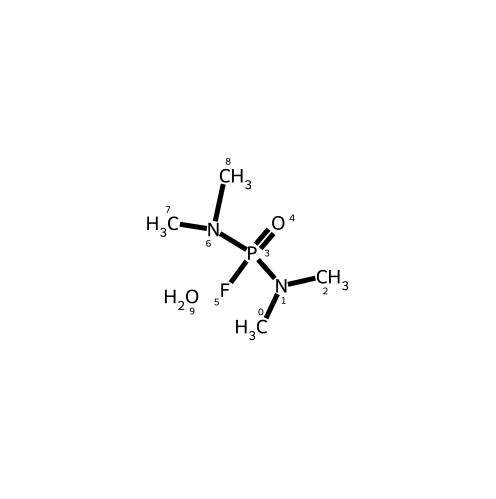 CN(C)P(=O)(F)N(C)C.O